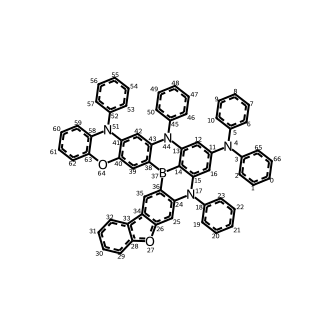 c1ccc(N(c2ccccc2)c2cc3c4c(c2)N(c2ccccc2)c2cc5oc6ccccc6c5cc2B4c2cc4c(cc2N3c2ccccc2)N(c2ccccc2)c2ccccc2O4)cc1